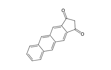 O=C1CC(=O)c2cc3cc4ccccc4cc3cc21